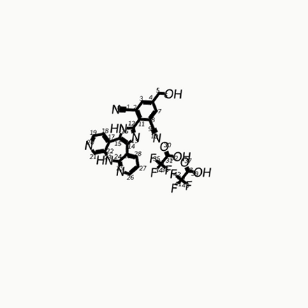 N#Cc1cc(CO)cc(C#N)c1-c1nc2c([nH]1)-c1ccncc1Nc1ncccc1-2.O=C(O)C(F)(F)F.O=C(O)C(F)(F)F